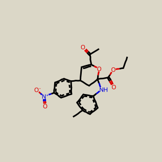 CCOC(=O)C1(Nc2ccc(C)cc2)CC(c2ccc([N+](=O)[O-])cc2)C=C(C(C)=O)O1